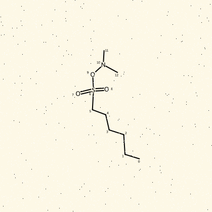 CCCCCCS(=O)(=O)ON(C)C